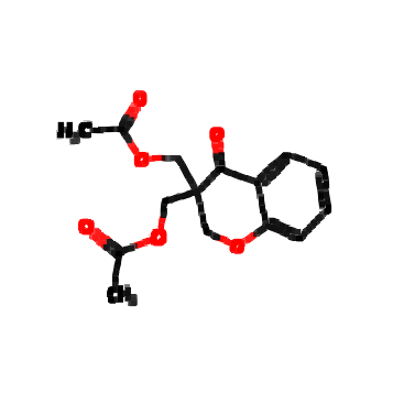 CC(=O)OCC1(COC(C)=O)COc2ccccc2C1=O